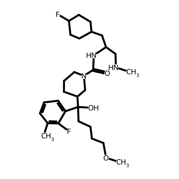 CNCC(CC1CCC(F)CC1)NC(=O)N1CCCC(C(O)(CCCCOC)c2cccc(C)c2F)C1